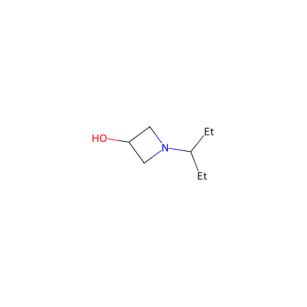 CCC(CC)N1CC(O)C1